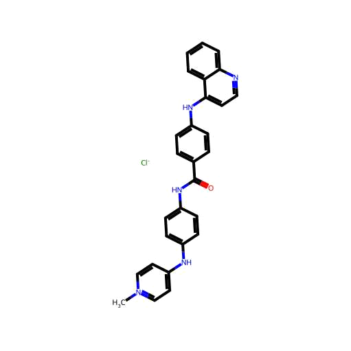 C[n+]1ccc(Nc2ccc(NC(=O)c3ccc(Nc4ccnc5ccccc45)cc3)cc2)cc1.[Cl-]